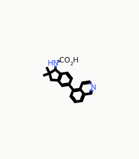 CC1(C)Cc2cc(-c3cccc4cnccc34)ccc2C1NC(=O)O